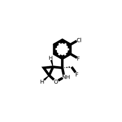 FC[C@]1(c2cccc(Cl)c2F)NO[C@@H]2C[C@@H]21